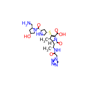 C[C@@H](NC(=O)Cn1cnnn1)[C@H]1C(=O)N2C(C(=O)O)=C(S[C@@H]3CN[C@H](C(=O)N4C[C@@H](O)C[C@H]4CN)C3)[C@H](C)[C@H]12